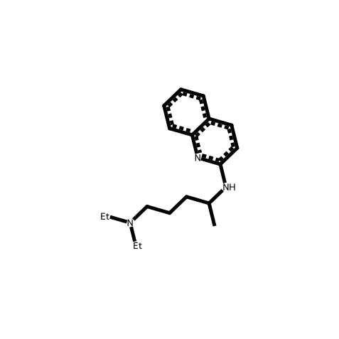 CCN(CC)CCCC(C)Nc1ccc2ccccc2n1